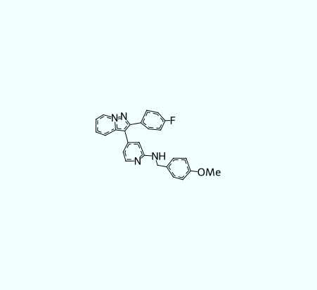 COc1ccc(CNc2cc(-c3c(-c4ccc(F)cc4)nn4ccccc34)ccn2)cc1